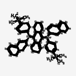 C[Si](C)(C)c1ccc(N(c2ccc3ccccc3c2)c2c3ccccc3c(N(c3ccc([Si](C)(C)C)cc3)c3ccc4ccccc4c3)c3ccccc23)cc1